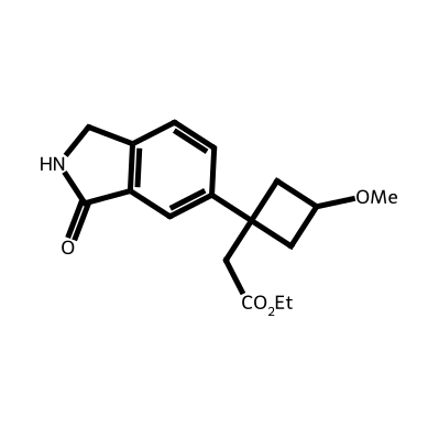 CCOC(=O)CC1(c2ccc3c(c2)C(=O)NC3)CC(OC)C1